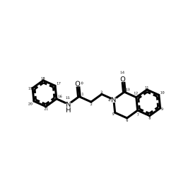 O=C(CCN1CCc2ccccc2C1=O)Nc1ccccc1